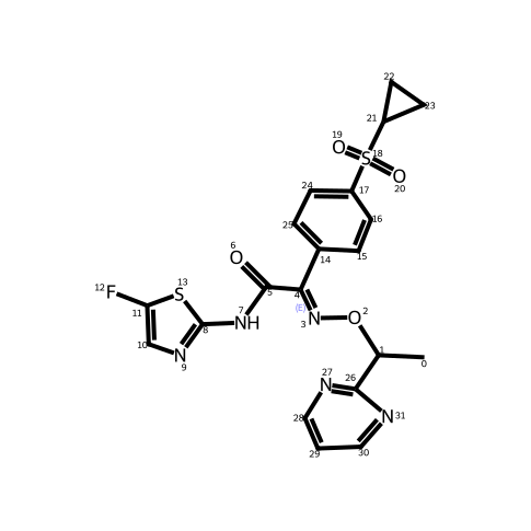 CC(O/N=C(/C(=O)Nc1ncc(F)s1)c1ccc(S(=O)(=O)C2CC2)cc1)c1ncccn1